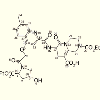 CCOC(=O)[C@@H]1C[C@@H](O)CN1C(=O)COc1cc(C(=O)NC(CCC(=O)O)C(=O)N2CCN(C(=O)OCC)CC2)nc2cc(C)ccc12